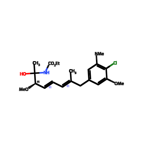 CCOC(=O)NC(C)(O)[C@@H](/C=C/C=C(\C)Cc1cc(NC)c(Cl)c(OC)c1)OC